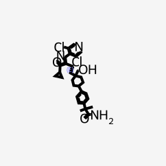 CC(C)(C(N)=O)c1ccc(C2CCC(/C=C/c3c(-c4c(Cl)cncc4Cl)noc3C3CC3)(CO)CC2)cc1